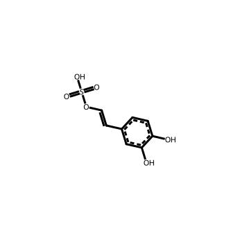 O=S(=O)(O)OC=Cc1ccc(O)c(O)c1